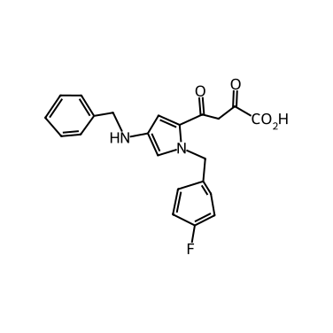 O=C(O)C(=O)CC(=O)c1cc(NCc2ccccc2)cn1Cc1ccc(F)cc1